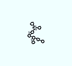 c1ccc(-c2ccc(-c3ccc(-c4cccc5sc6cc(-c7nc(-c8ccccc8)nc(-c8ccccc8)n7)ccc6c45)c4sc5ccccc5c34)cc2)cc1